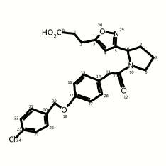 O=C(O)CCc1cc(C2CCCN2C(=O)Cc2ccc(OCc3ccc(Cl)cc3)cc2)no1